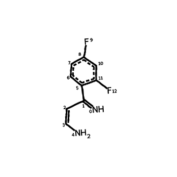 N=C(/C=C\N)c1ccc(F)cc1F